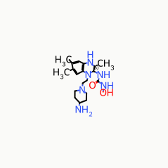 Cc1cc2c(cc1C)N(CCN1CCC(N)CC1)C(NC(=O)NO)[C@H](C)N2